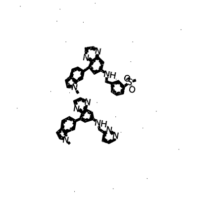 Cn1ccc2ccc(-c3cc(NCc4cccc(S(C)(=O)=O)c4)cc4nccnc34)cc21.Cn1ccc2ccc(-c3cc(NCc4cccnn4)cc4nccnc34)cc21